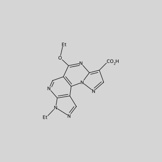 CCOc1nc2c(C(=O)O)cnn2c2c1cnc1c2cnn1CC